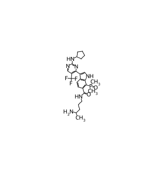 CC(N)CCCNC(=O)c1ccc2c(-c3nc(NC4CCCC4)ncc3C(F)(F)F)c[nH]c2c1P(C)(C)=O